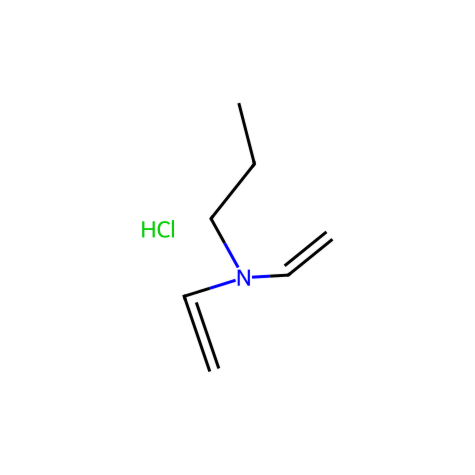 C=CN(C=C)CCC.Cl